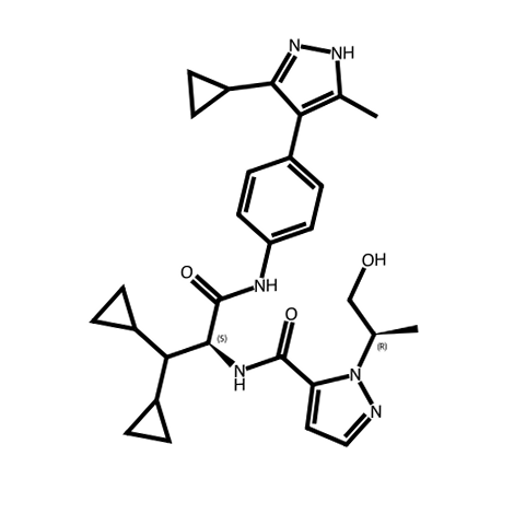 Cc1[nH]nc(C2CC2)c1-c1ccc(NC(=O)[C@@H](NC(=O)c2ccnn2[C@H](C)CO)C(C2CC2)C2CC2)cc1